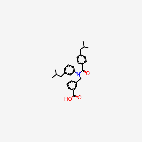 CC(C)Cc1ccc(C(=O)N(Cc2cccc(C(=O)O)c2)c2cccc(CC(C)C)c2)cc1